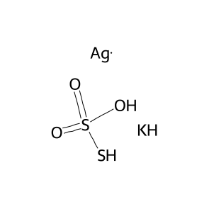 O=S(=O)(O)S.[Ag].[KH]